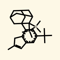 CC1=Cc2cc(C(C)(C)C)cc(C34CC5C[C](CC(C5)C3)C43[Si](C)(C)[Si]3(C)C)c2C1